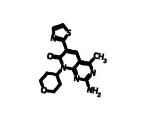 Cc1nc(N)nc2c1cc(-c1nccs1)c(=O)n2C1CCOCC1